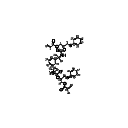 C=CC(=O)OCC(CSc1ccccc1)OC(=O)NC(C)(C)c1cccc(C(C)(C)NC(=O)OC(COC(=O)C(=C)C)CSc2ccccc2)c1